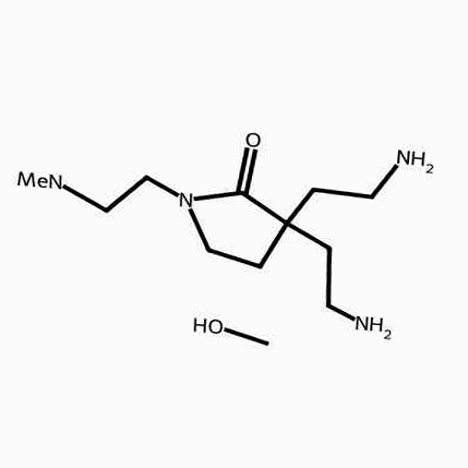 CNCCN1CCC(CCN)(CCN)C1=O.CO